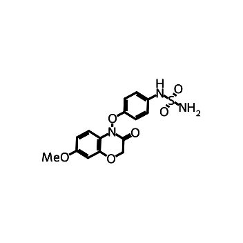 COc1ccc2c(c1)OCC(=O)N2Oc1ccc(NS(N)(=O)=O)cc1